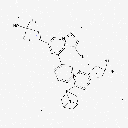 [2H]C([2H])([2H])Oc1ccc(CN2C3CC2CN(c2ccc(-c4cc(/C=C/C(C)(C)O)cn5ncc(C#N)c45)cn2)C3)cn1